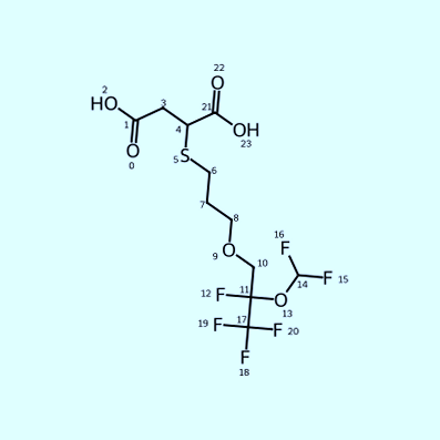 O=C(O)CC(SCCCOCC(F)(OC(F)F)C(F)(F)F)C(=O)O